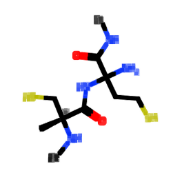 CCNC(=O)C(N)(CCS)NC(=O)[C@@](C)(CS)NCC